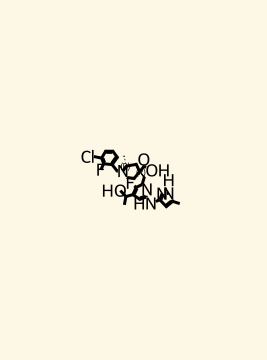 Cc1cc(Nc2cc(C(C)O)c(F)c(C[C@@]3(C(=O)O)CCN(Cc4cccc(Cl)c4F)[C@H](C)C3)n2)n[nH]1